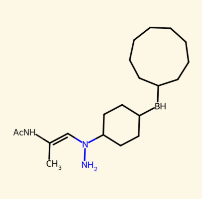 CC(=O)N/C(C)=C/N(N)C1CCC(BC2CCCCCCCC2)CC1